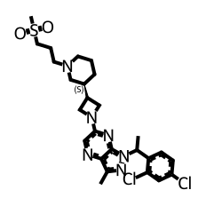 Cc1nn(C(C)c2ccc(Cl)cc2Cl)c2nc(N3CC([C@@H]4CCCN(CCCS(C)(=O)=O)C4)C3)cnc12